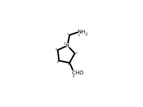 NCN1CCC(C=O)C1